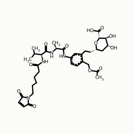 CC(=O)OCc1ccc(NC(=O)[C@H](C)NC(=O)[C@@H](NC(=O)CCCCCN2C(=O)C=CC2=O)C(C)C)cc1CC[C@H]1C[C@@H](O)[C@H](O)[C@@H](C(=O)O)O1